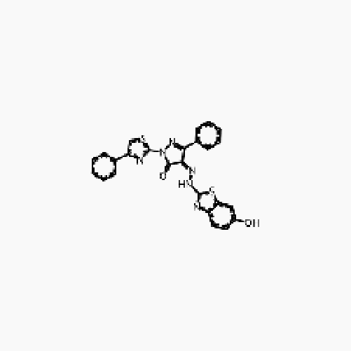 O=C1/C(=N\Nc2nc3ccc(O)cc3s2)C(c2ccccc2)=NN1c1nc(-c2ccccc2)cs1